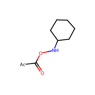 CC(=O)C(=O)ONC1CCCCC1